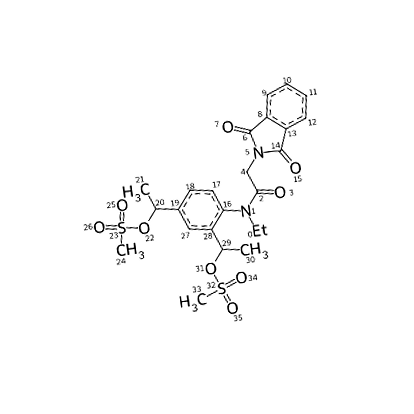 CCN(C(=O)CN1C(=O)c2ccccc2C1=O)c1ccc(C(C)OS(C)(=O)=O)cc1C(C)OS(C)(=O)=O